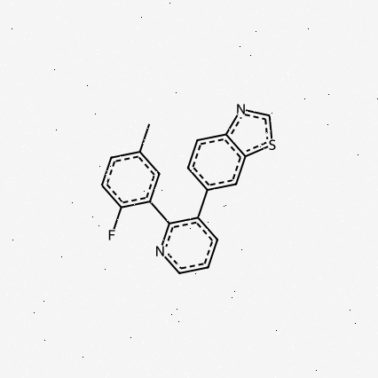 Cc1ccc(F)c(-c2ncccc2-c2ccc3ncsc3c2)c1